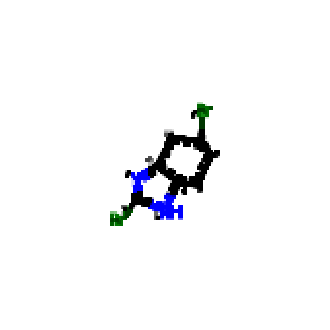 Brc1ccc2[nH]c(Br)nc2c1